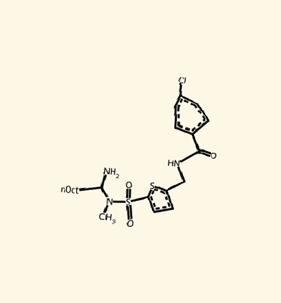 CCCCCCCCC(N)N(C)S(=O)(=O)c1ccc(CNC(=O)c2ccc(Cl)cc2)s1